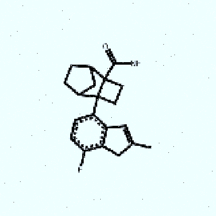 CC1=Cc2c(C34CCC3(C([NH])=O)C3CCC4C3)ccc(F)c2C1